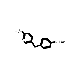 CC(=O)Nc1ccc(Cc2ccc(C(=O)O)nc2)cc1